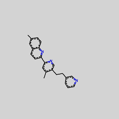 Cc1ccc2nc(-c3cc(C)c(CCc4cccnc4)cn3)ccc2c1